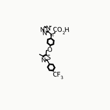 Cc1nc(-c2ccc(C(F)(F)F)cc2)sc1COc1ccc([C@H](CC(=O)O)c2nncn2C)cc1